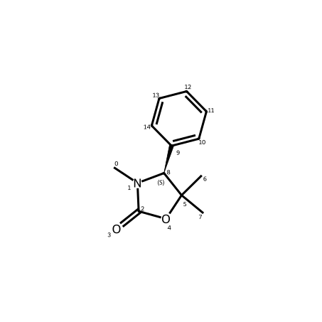 CN1C(=O)OC(C)(C)[C@@H]1c1ccccc1